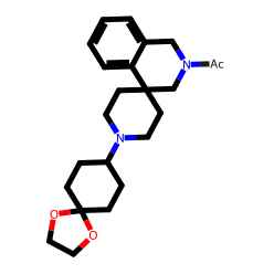 CC(=O)N1Cc2ccccc2C2(CCN(C3CCC4(CC3)OCCO4)CC2)C1